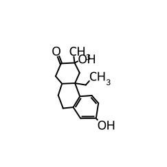 CCC12CC(C)(O)C(=O)CC1CCc1cc(O)ccc12